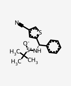 CC(C)(C)[S+]([O-])N[C@@H](c1ccccc1)c1cc(C#N)cs1